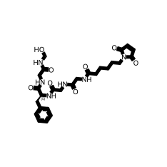 O=C(CCCCCN1C(=O)C=CC1=O)NCC(=O)NCC(=O)N[C@@H](Cc1ccccc1)C(=O)NCC(=O)NCO